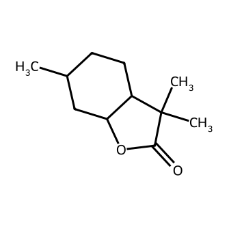 CC1CCC2C(C1)OC(=O)C2(C)C